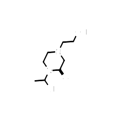 CC(S)N1CCN(CCO)CC1=O